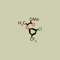 COC(=O)C(C)Oc1cc(Cl)cc(C(F)(F)F)c1